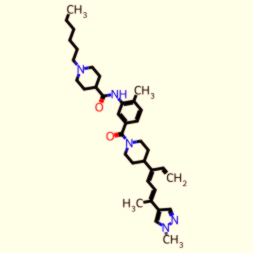 C=C/C(=C\C=C(/C)c1cnn(C)c1)C1CCN(C(=O)c2ccc(C)c(NC(=O)C3CCN(CCCCCC)CC3)c2)CC1